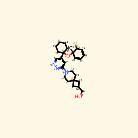 N#C[C@]1(OC2(c3cnnc(N4CCC5(CC4)CC(CO)C5)c3)CCCCC2)C=CC=CC1Cl